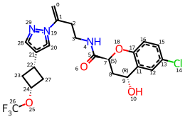 C=C(CCNC(=O)[C@@H]1C[C@@H](O)c2cc(Cl)ccc2O1)n1cc([C@H]2C[C@@H](OC(F)(F)F)C2)cn1